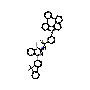 CC1(C)c2ccccc2-c2ccc(-c3n/c(=N/C(=N)c4cccc(-n5c6cccc7c6c6c8c(cccc8ccc65)-c5ccccc5-7)c4)[nH]c4ccccc34)cc21